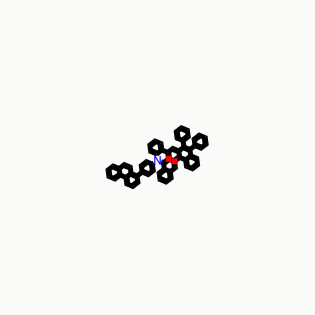 c1ccc(-c2c(-c3ccccc3)c3cc(-c4ccccc4N(c4ccc(-c5cccc6c5ccc5ccccc56)cc4)c4cccc5ccccc45)ccc3c3ccccc23)cc1